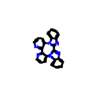 c1ccc2c(c1)nc1c3nc4ccccc4n3c3cccnc3c3ncccc3n21